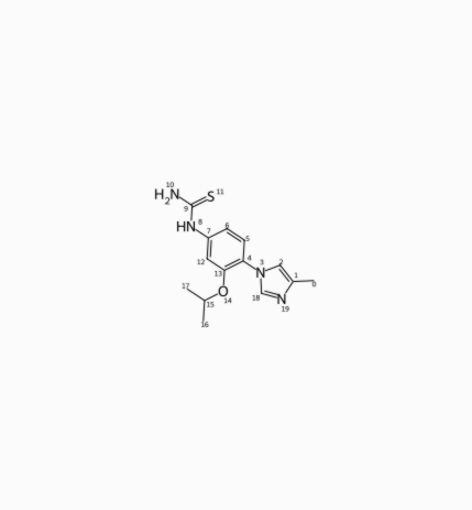 Cc1cn(-c2ccc(NC(N)=S)cc2OC(C)C)cn1